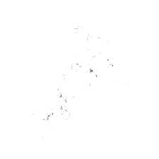 CC(C)c1nc2ccc(Br)cc2c(=O)n1CC1CCCN(C(=O)OC(C)(C)C)C1